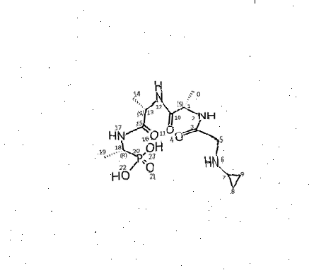 C[C@H](NC(=O)CNC1CC1)C(=O)N[C@@H](C)C(=O)N[C@@H](C)P(=O)(O)O